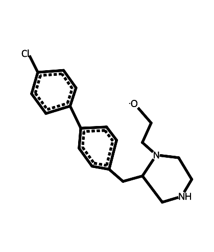 [O]CCN1CCNCC1Cc1ccc(-c2ccc(Cl)cc2)cc1